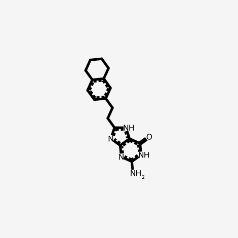 Nc1nc2nc(CCc3ccc4c(c3)CCCC4)[nH]c2c(=O)[nH]1